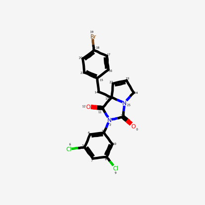 O=C1N(c2cc(Cl)cc(Cl)c2)C(=O)C2(Cc3ccc(Br)cc3)C=CCN12